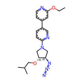 CCOc1cc(-c2ccc(N3C[C@@H](N=[N+]=[N-])[C@H](OCC(C)C)C3)nc2)ccn1